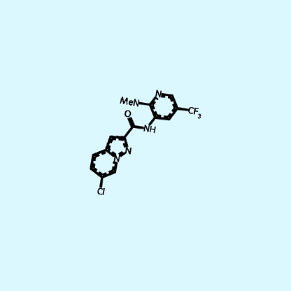 CNc1ncc(C(F)(F)F)cc1NC(=O)c1cc2ccc(Cl)cn2n1